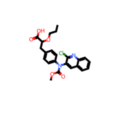 CCCOC(Cc1ccc(N(C(=O)OC)c2cc3ccccc3nc2Cl)cc1)C(=O)O